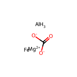 O=C([O-])[O-].[AlH3].[Fe].[Mg+2]